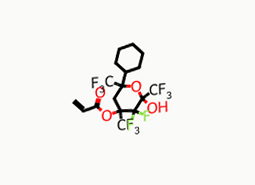 C=CC(=O)OC1(C(F)(F)F)CC(C2CCCCC2)(C(F)(F)F)OC(O)(C(F)(F)F)C1(F)F